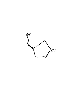 CC(C)C[C]1CCNC1